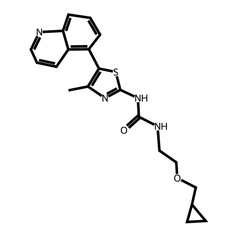 Cc1nc(NC(=O)NCCOCC2CC2)sc1-c1cccc2ncccc12